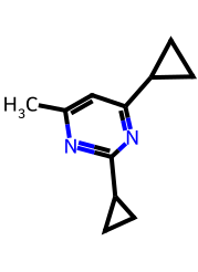 Cc1cc(C2CC2)nc(C2CC2)n1